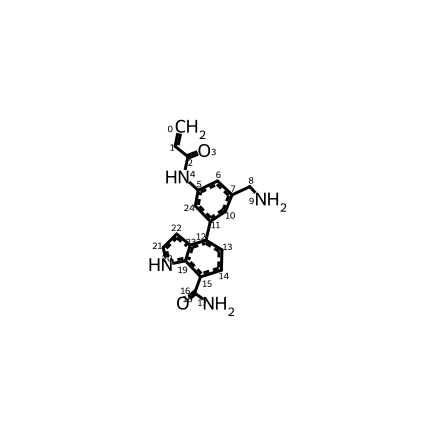 C=CC(=O)Nc1cc(CN)cc(-c2ccc(C(N)=O)c3[nH]ccc23)c1